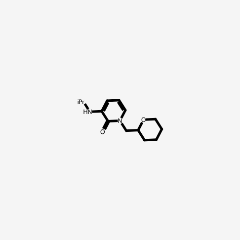 CC(C)Nc1cccn(CC2CCCCO2)c1=O